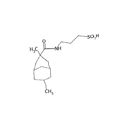 CC1CC2CC(C1)CC(C)(C(=O)NCCCS(=O)(=O)O)C2